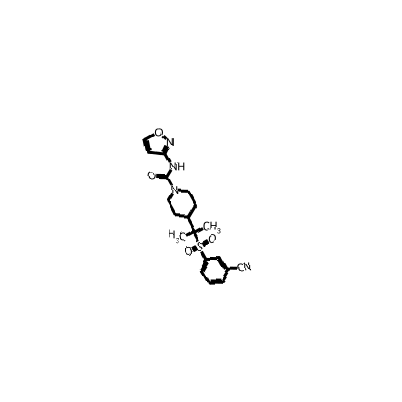 CC(C)(C1CCN(C(=O)Nc2ccon2)CC1)S(=O)(=O)c1cccc(C#N)c1